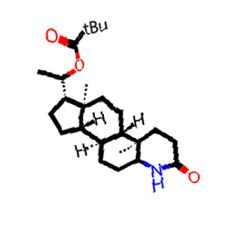 CC(OC(=O)C(C)(C)C)[C@H]1CC[C@H]2[C@@H]3CCC4NC(=O)CC[C@]4(C)[C@H]3CC[C@]12C